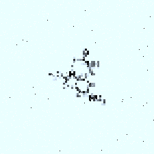 O=C1CCN(C(=O)C(F)(F)F)c2ccc([N+](=O)[O-])cc2CN1